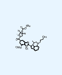 CCn1c(-c2cc3cccc4c3n2C(C)CN4CCCO)nc2cc(C(=O)N3C[C@@H]4[C@H]([C@H]3C)N4C(=O)OC(C)(C)C)cc(OC)c21